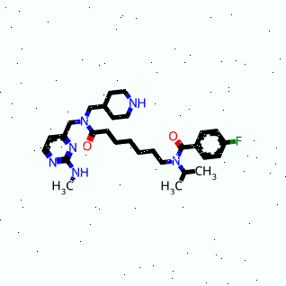 CNc1nccc(CN(CC2CCNCC2)C(=O)CCCCCCN(C(=O)c2ccc(F)cc2)C(C)C)n1